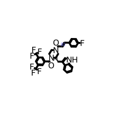 O=C(/C=C/c1ccc(F)cc1)N1CCN(C(=O)c2cc(C(F)(F)F)cc(C(F)(F)F)c2)[C@H](Cc2c[nH]c3ccccc23)C1